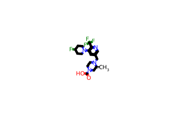 C[C@H]1CN(C(=O)O)CCN1Cc1cnc(C(F)(F)F)c(N2CCC(F)CC2)c1